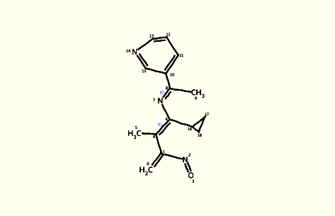 C=C(N=O)/C(C)=C(/N=C(\C)c1cccnc1)C1CC1